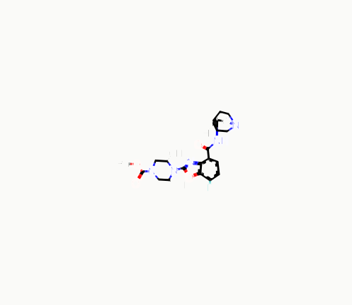 C[C@H]1CN(C(=O)OC(C)(C)C)C[C@H](C)N1c1nc2c(C(=O)N[C@@H]3CN4CCC3CC4)ccc(F)c2o1